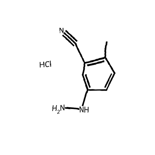 Cc1ccc(NN)cc1C#N.Cl